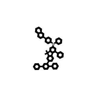 CC1(C)c2cc(-c3cc(-c4ccccc4)ccc3-c3ccccc3)ccc2-c2c(-c3ccccc3)cc(N(c3ccccc3)c3ccc(-c4ccc5ccccc5c4)cc3)cc21